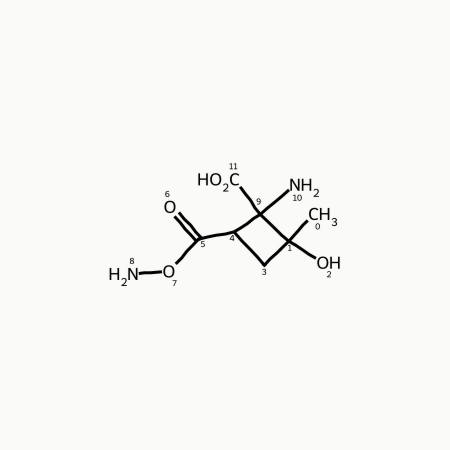 CC1(O)CC(C(=O)ON)C1(N)C(=O)O